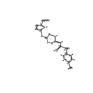 CC(=O)Nc1ncc(CN2CCC(=CC(=O)Nc3ccc(C(C)C)cc3)CC2)s1